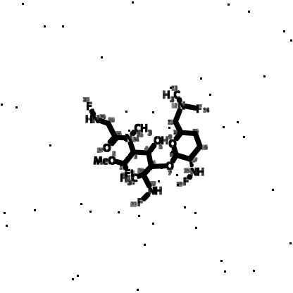 CCC(OC)C(C(O)C(OC1OC(CN(C)F)CC[C@@H]1NF)C(C)NF)N(C)C(=O)CNF